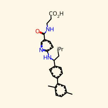 Cc1ccc(C)c(-c2ccc(C(CC(C)C)Nc3ccc(C(=O)NCCC(=O)O)cn3)cc2)c1